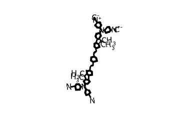 [C-]#[N+]c1ccc(N(c2ccc([N+]#[C-])cc2)c2ccc3c(c2)C(C)(C)c2cc(/C=C/c4ccc(/C=C/c5ccc6c(c5)C(C)(C)c5cc(N(c7ccc(C#N)cc7)c7ccc(C#N)cc7)ccc5-6)cc4)ccc2-3)cc1